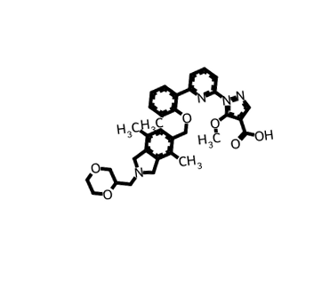 COc1c(C(=O)O)cnn1-c1cccc(-c2cccc(C)c2OCc2cc(C)c3c(c2C)CN(CC2COCCO2)C3)n1